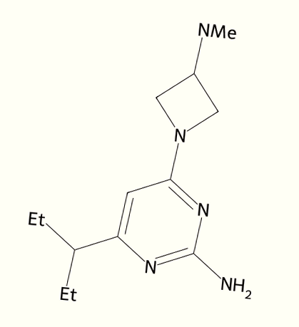 CCC(CC)c1cc(N2CC(NC)C2)nc(N)n1